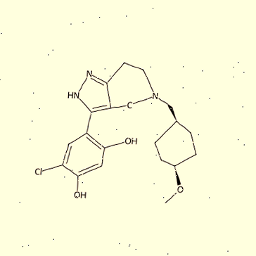 CO[C@H]1CC[C@@H](CN2CCc3n[nH]c(-c4cc(Cl)c(O)cc4O)c3C2)CC1